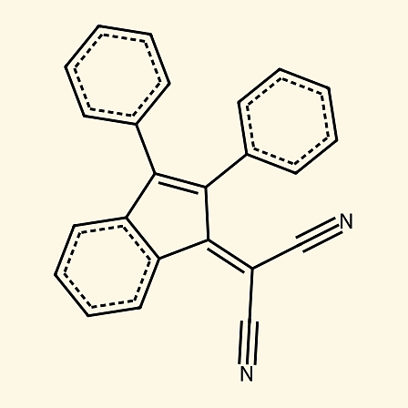 N#CC(C#N)=C1C(c2ccccc2)=C(c2ccccc2)c2ccccc21